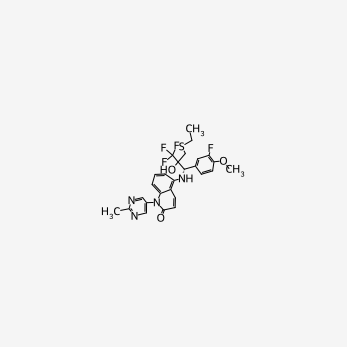 CCSCC(O)([C@@H](Nc1cccc2c1ccc(=O)n2-c1cnc(C)nc1)c1ccc(OC)c(F)c1)C(F)(F)F